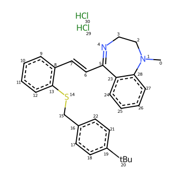 CN1CCN=C(C=Cc2ccccc2SCc2ccc(C(C)(C)C)cc2)c2ccccc21.Cl.Cl